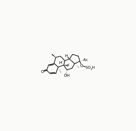 CC(=O)[C@@]1(OS(=O)(=O)O)CC[C@H]2[C@@H]3C[C@H](C)C4=CC(=O)C=C[C@]4(C)[C@@]3(F)[C@@H](O)C[C@@]21C